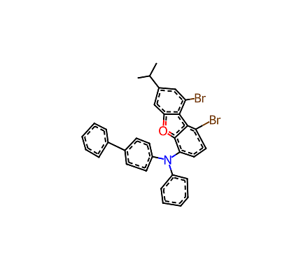 CC(C)c1cc(Br)c2c(c1)oc1c(N(c3ccccc3)c3ccc(-c4ccccc4)cc3)ccc(Br)c12